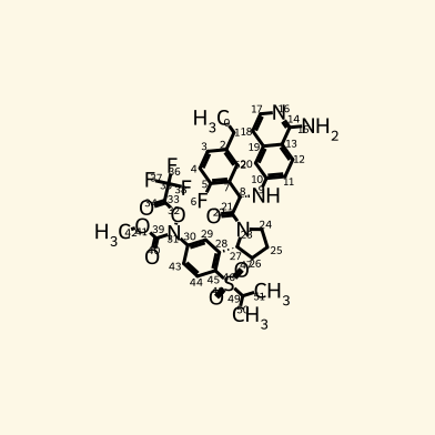 CCc1ccc(F)c([C@H](Nc2ccc3c(N)nccc3c2)C(=O)N2CCC[C@@H]2c2cc(N(OC(=O)C(F)(F)F)C(=O)OC)ccc2S(=O)(=O)C(C)C)c1